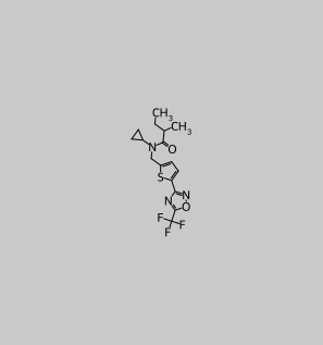 CCC(C)C(=O)N(Cc1ccc(-c2noc(C(F)(F)F)n2)s1)C1CC1